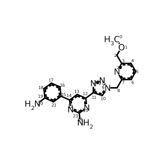 COCc1cccc(Cn2cc(-c3cc(-c4cccc(N)c4)nc(N)n3)nn2)n1